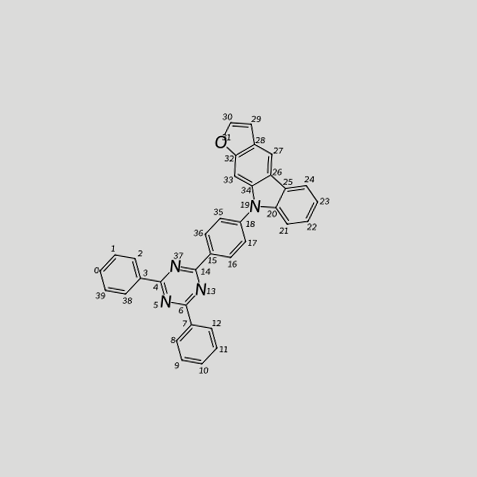 c1ccc(-c2nc(-c3ccccc3)nc(-c3ccc(-n4c5ccccc5c5cc6ccoc6cc54)cc3)n2)cc1